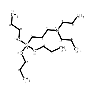 CCCO[Si](CCCN(CCC)CCC)(OCCC)OCCC